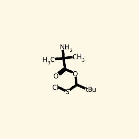 CC(C)(N)C(=O)OC(SCl)C(C)(C)C